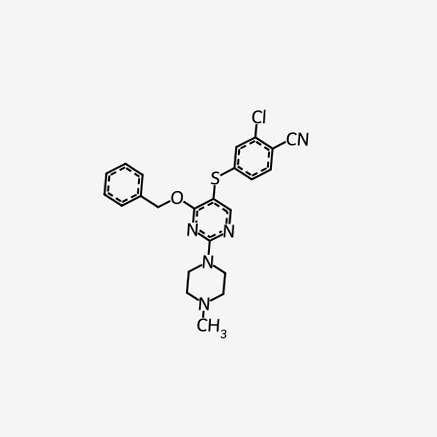 CN1CCN(c2ncc(Sc3ccc(C#N)c(Cl)c3)c(OCc3ccccc3)n2)CC1